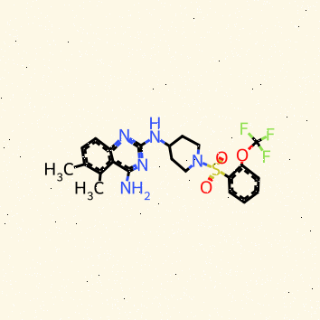 Cc1ccc2nc(NC3CCN(S(=O)(=O)c4ccccc4OC(F)(F)F)CC3)nc(N)c2c1C